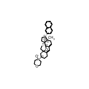 C[C@]12CC=C3C=C4CC[C@H]([N+]5([O-])CCOCC5)C[C@]45CC[C@]3(O5)[C@@H]1CC[C@@H]2c1ccc2ccccc2c1